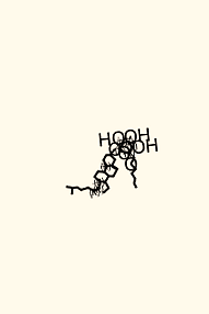 CCCCCOC[C@H]1O[C@H](OC2CC[C@@]3(C)C(=CCC4C3CC[C@@]3(C)C4CC[C@@H]3[C@H](C)CCCC(C)C)C2)[C@H](O)[C@@H](O)[C@@H]1O